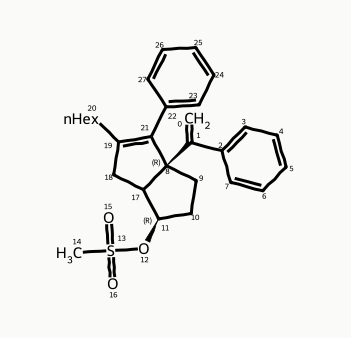 C=C(c1ccccc1)[C@@]12CC[C@@H](OS(C)(=O)=O)C1CC(CCCCCC)=C2c1ccccc1